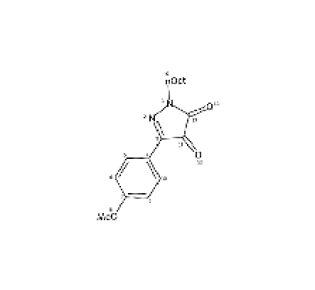 CCCCCCCCN1N=C(c2ccc(OC)cc2)C(=O)C1=O